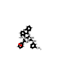 Cc1cccc(NC(=O)N[C@@H]2N=C(c3ccccc3F)c3cccc(C(C)C)c3N(CC(=O)N3CC4CCC(CC4)C3)C2=O)c1